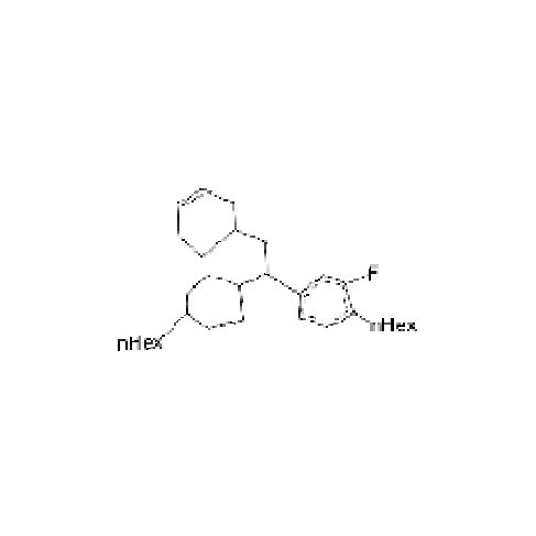 CCCCCCc1ccc(C(CC2CC=CCC2)C2CCC(CCCCCC)CC2)cc1F